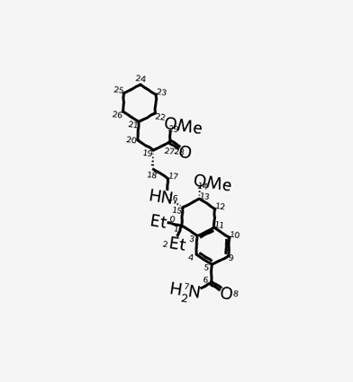 CCC1(CC)c2cc(C(N)=O)ccc2C[C@@H](OC)[C@H]1NCC[C@H](CC1CCCCC1)C(=O)OC